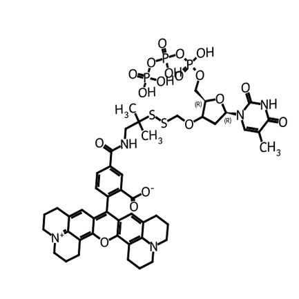 Cc1cn([C@H]2CC(OCSSC(C)(C)CNC(=O)c3ccc(C4=c5cc6c7c(c5Oc5c4cc4c8c5CCCN8CCC4)CCC[N+]=7CCC6)c(C(=O)[O-])c3)[C@@H](COP(=O)(O)OP(=O)(O)OP(=O)(O)O)O2)c(=O)[nH]c1=O